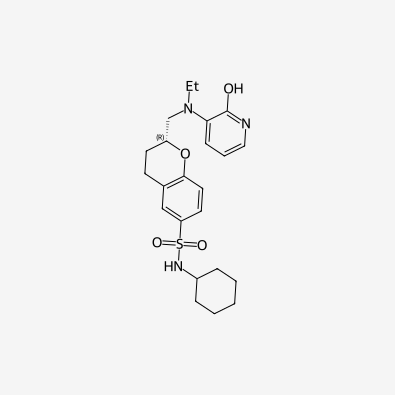 CCN(C[C@H]1CCc2cc(S(=O)(=O)NC3CCCCC3)ccc2O1)c1cccnc1O